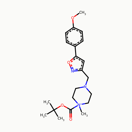 COc1ccc(-c2cc(CN3CC[N+](C)(C(=O)OC(C)(C)C)CC3)no2)cc1